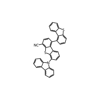 N#Cc1ccc(-c2cccc3sc4ccccc4c23)c2c1sc1c(-n3c4ccccc4c4ccccc43)cccc12